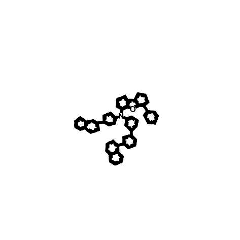 c1ccc(-c2cccc3c2oc2c(N(c4ccc(-c5ccc6ccccc6c5)cc4)c4cccc(-c5cccc(-c6cccc7ccccc67)c5)c4)cccc23)cc1